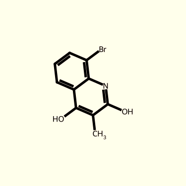 Cc1c(O)nc2c(Br)cccc2c1O